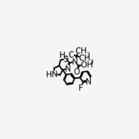 CC(C)(C)N(C(=O)O)C1=NC2(c3cccc(-c4cccnc4F)c3)CNCC2CS1